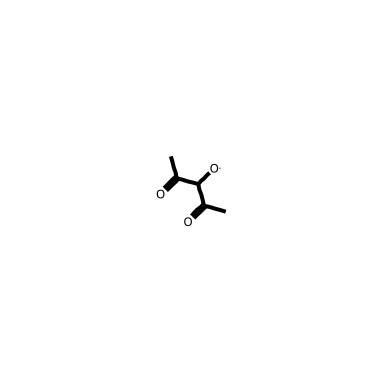 CC(=O)C([O])C(C)=O